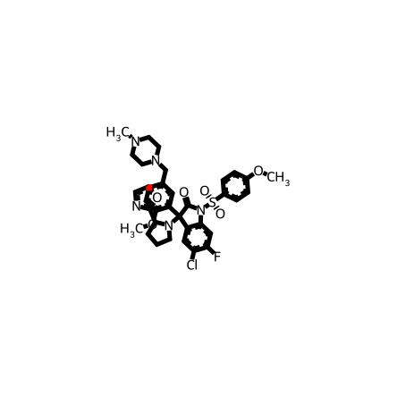 COc1ccc(S(=O)(=O)N2C(=O)C(c3cc(CN4CCN(C)CC4)ccc3OC)(N3CCCC3c3ncco3)c3cc(Cl)c(F)cc32)cc1